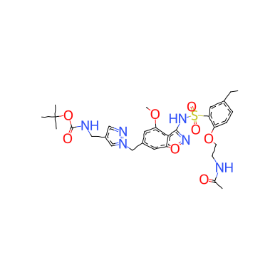 CCc1ccc(OCCNC(C)=O)c(S(=O)(=O)Nc2noc3cc(Cn4cc(CNC(=O)OC(C)(C)C)cn4)cc(OC)c23)c1